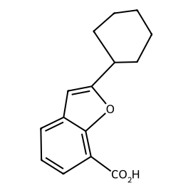 O=C(O)c1cccc2cc(C3CCCCC3)oc12